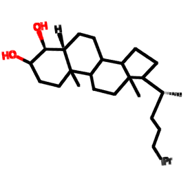 CC(C)CCC[C@@H](C)C1CCC2C3CC[C@H]4[C@H](O)C(O)CCC4(C)C3CCC21C